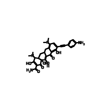 CN(C)c1cc(C#Cc2ccc(N)cc2)c(O)c2c1CC1CC3C(N(C)C)C(O)=C(C(N)=O)C(=O)C3(O)C(O)=C1C2=O